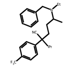 CCN(Cc1ccccc1)C(C)CCC(C#N)(c1ccc(C(F)(F)F)cc1)C(C)C